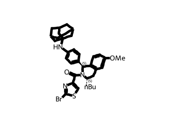 CCCC[C@H]1Cc2cc(OC)ccc2[C@H](c2ccc(NC34CC5CC(CC(C5)C3)C4)cc2)N1C(=O)c1csc(Br)n1